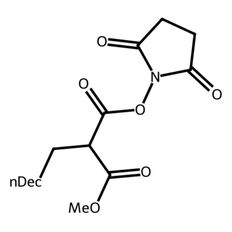 CCCCCCCCCCCC(C(=O)OC)C(=O)ON1C(=O)CCC1=O